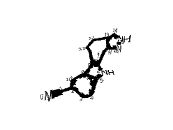 N#Cc1ccc2[nH]c3c(c2c1)CCc1c[nH]nc1-3